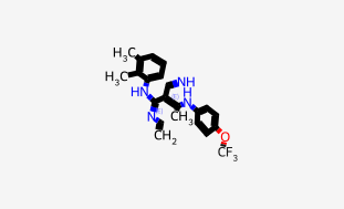 C=C/N=C(Nc1cccc(C)c1C)\C(C=N)=C(/C)Nc1ccc(OC(F)(F)F)cc1